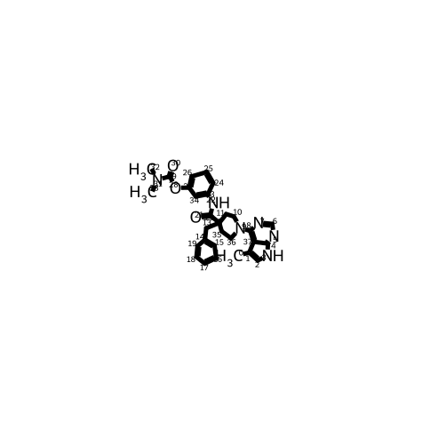 Cc1c[nH]c2ncnc(N3CCC(Cc4ccccc4)(C(=O)Nc4cccc(OC(=O)N(C)C)c4)CC3)c12